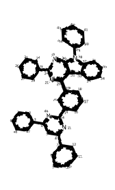 c1ccc(-c2cc(-c3ccccc3)nc(-c3cccc(-c4nc(-c5ccccc5)nc5c4c4ccccc4n5-c4ccccc4)c3)n2)cc1